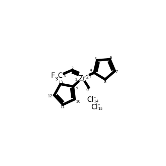 [CH3][Zr+2](=[CH]C(F)(F)F)([C]1=CC=CC1)[C]1=CC=CC1.[Cl-].[Cl-]